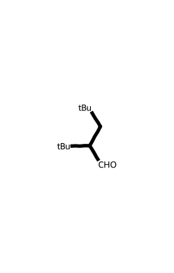 CC(C)(C)CC(C=O)C(C)(C)C